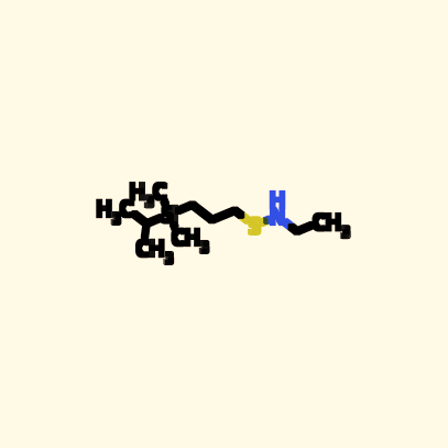 CCNSCCC[Si](C)(C)C(C)C